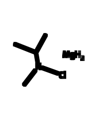 CC(C)N(C)Cl.[MgH2]